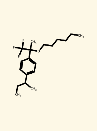 CCCCCCOC(C)(c1ccc(C(C)CC)cc1)C(F)(F)F